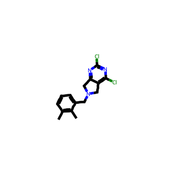 Cc1cccc(CN2Cc3nc(Cl)nc(Cl)c3C2)c1C